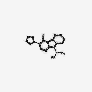 CN(C)c1c2ccnsc-2c2c(=O)n(-c3nccs3)cnc12